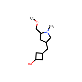 COCC1CC(CC2CC(O)C2)CN1C